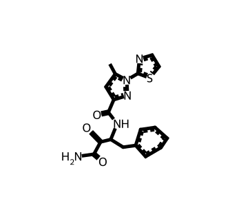 Cc1cc(C(=O)NC(Cc2ccccc2)C(=O)C(N)=O)nn1-c1nccs1